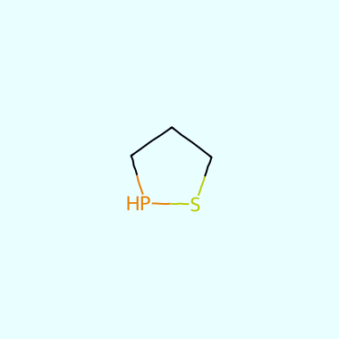 C1CPSC1